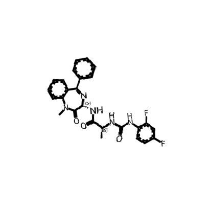 C[C@H](NC(=O)Nc1ccc(F)cc1F)C(=O)N[C@H]1N=C(c2ccccc2)c2ccccc2N(C)C1=O